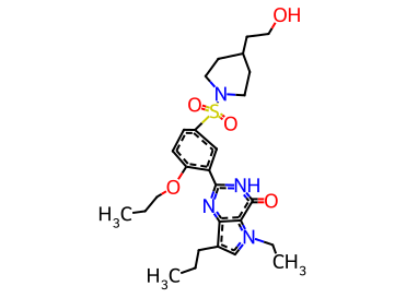 CCCOc1ccc(S(=O)(=O)N2CCC(CCO)CC2)cc1-c1nc2c(CCC)cn(CC)c2c(=O)[nH]1